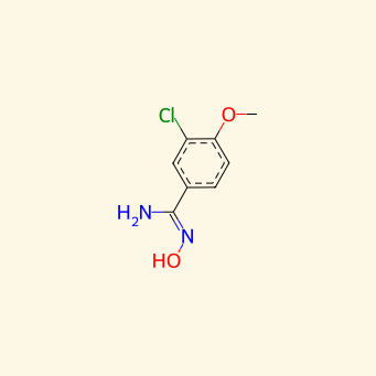 COc1ccc(/C(N)=N/O)cc1Cl